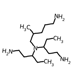 CCC(CCN)N(CC(C)CCCN)C(CC)CCN